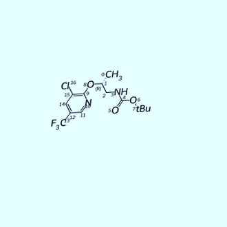 C[C@H](CNC(=O)OC(C)(C)C)Oc1ncc(C(F)(F)F)cc1Cl